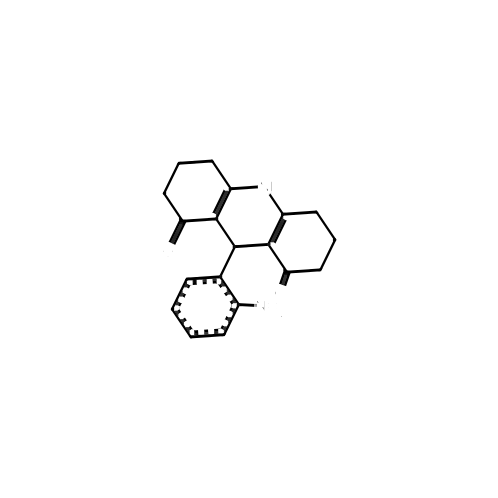 O=C1CCCC2=C1C(c1ccccc1[N+](=O)[O-])C1=C(CCCC1=O)N2